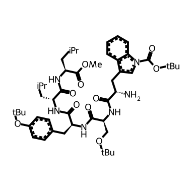 COC(=O)[C@H](CC(C)C)NC(=O)[C@@H](CC(C)C)NC(=O)[C@H](Cc1ccc(OC(C)(C)C)cc1)NC(=O)[C@H](COC(C)(C)C)NC(=O)[C@@H](N)Cc1cn(C(=O)OC(C)(C)C)c2ccccc12